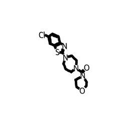 O=C(N1CCOCC1)N1CCCN(c2nc3ccc(Cl)cc3s2)CC1